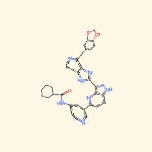 O=C(Nc1cncc(-c2ccc3[nH]nc(-c4nc5c(-c6ccc7c(c6)OCO7)nccc5[nH]4)c3n2)c1)C1CCCCC1